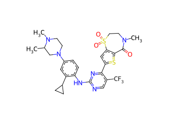 CC1CN(c2ccc(Nc3ncc(C(F)(F)F)c(-c4cc5c(s4)C(=O)N(C)CCS5(=O)=O)n3)c(C3CC3)c2)CCN1C